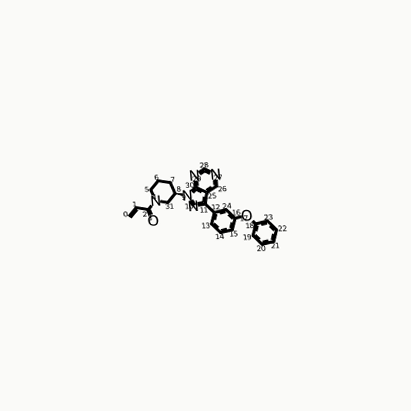 C=CC(=O)N1CCC[C@@H](n2nc(-c3cccc(Oc4ccccc4)c3)c3cncnc32)C1